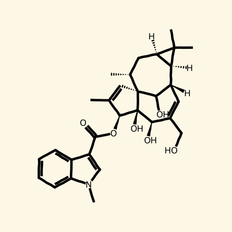 CC1=C[C@]23C(O)[C@@H](C=C(CO)[C@@H](O)[C@]2(O)[C@H]1OC(=O)c1cn(C)c2ccccc12)[C@H]1[C@@H](C[C@H]3C)C1(C)C